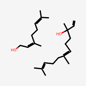 C=CC(C)(O)CCC=C(C)CCC=C(C)C.CC(C)=CCC/C(C)=C\CO